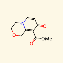 COC(=O)c1c2n(ccc1=O)CCOC2